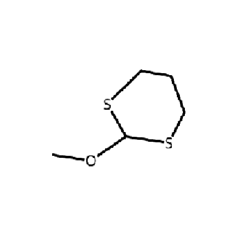 COC1SCCCS1